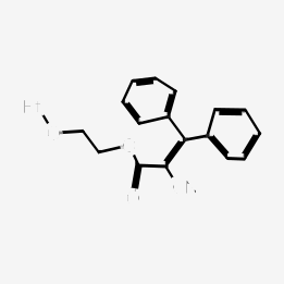 CCOCCOC(=O)C(C#N)=C(c1ccccc1)c1ccccc1